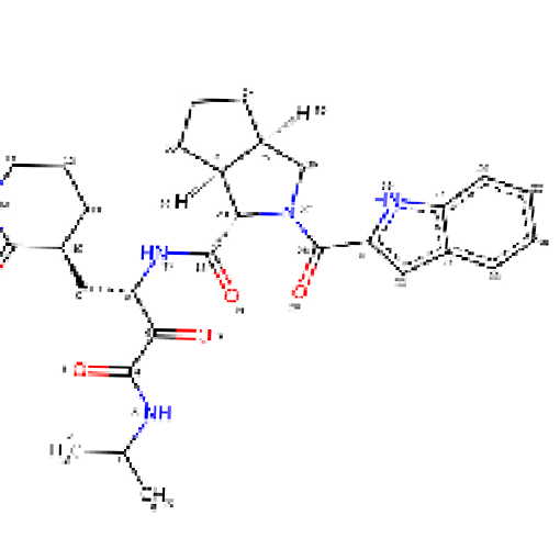 CC(C)NC(=O)C(=O)[C@H](C[C@@H]1CCCNC1=O)NC(=O)[C@@H]1[C@H]2CCC[C@H]2CN1C(=O)c1cc2ccccc2[nH]1